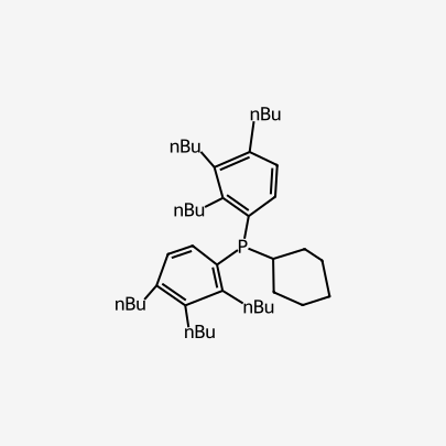 CCCCc1ccc(P(c2ccc(CCCC)c(CCCC)c2CCCC)C2CCCCC2)c(CCCC)c1CCCC